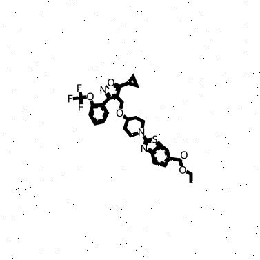 CCOC(=O)c1ccc2nc(N3CCC(OCc4c(-c5ccccc5OC(F)(F)F)noc4C4CC4)CC3)sc2c1